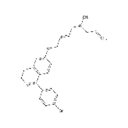 C=CCN(C)CC=CCOc1ccc2c(c1)CCN=C2c1ccc(Br)cc1